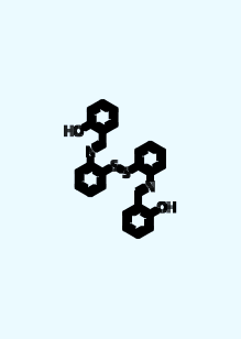 Oc1ccccc1/C=N/c1ccccc1SSc1ccccc1/N=C/c1ccccc1O